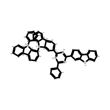 c1ccc(-c2nc(-c3ccc4c(c3)oc3ccccc34)nc(-c3ccc4c5ccccc5n(-c5cccc6c7ccccc7n(-c7ccccc7)c56)c4c3)n2)cc1